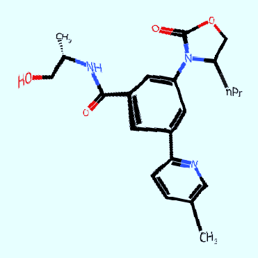 CCCC1COC(=O)N1c1cc(C(=O)N[C@@H](C)CO)cc(-c2ccc(C)cn2)c1